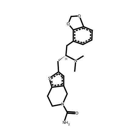 CN(C)[C@H](Cc1cc2c(s1)CCN(C(N)=O)C2)Cc1cccc2c1OCO2